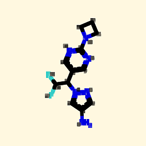 Nc1cnn(C(c2cnc(N3CCC3)nc2)C(F)F)c1